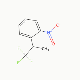 CC(c1ccccc1[N+](=O)[O-])C(F)(F)F